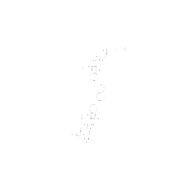 COC(=O)N[C@@H](C)C(=O)N1CCC[C@H]1c1nc2cc(-c3ccc4ccc(-c5ccc6[nH]c([C@@H]7CCCN7C(=O)[C@H](C)N(C)C(=O)O)nc6c5)cc4c3)ccc2[nH]1